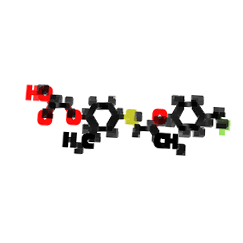 C=C(CSc1ccc(OCC(=O)O)c(C)c1)Oc1ccc(CF)cc1